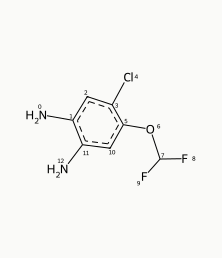 Nc1cc(Cl)c(OC(F)F)cc1N